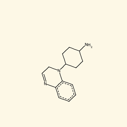 NC1CCC(N2CC=Nc3ccccc32)CC1